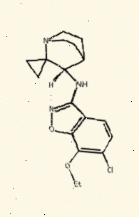 CCOc1c(Cl)ccc2c(N[C@H]3C4CCN(CC4)C34CC4)noc12